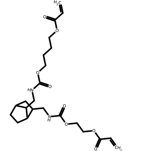 C=CC(=O)OCCCCOC(=O)NCC1C2CCC1C(CNC(=O)OCCOC(=O)C=C)C2